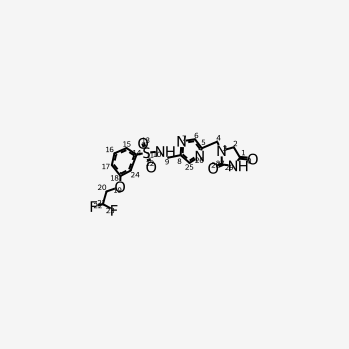 O=C1CN(Cc2cnc(CNS(=O)(=O)c3cccc(OCC(F)F)c3)cn2)C(=O)N1